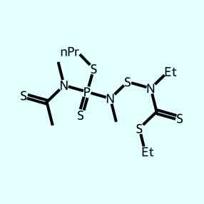 CCCSP(=S)(N(C)SN(CC)C(=S)SCC)N(C)C(C)=S